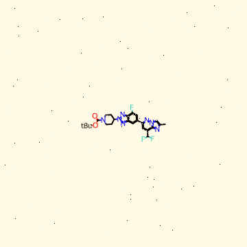 Cc1cn2nc(-c3cc(F)c4nn(C5CCN(C(=O)OC(C)(C)C)CC5)nc4c3)cc(C(F)F)c2n1